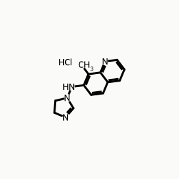 Cc1c(NN2C=NCC2)ccc2cccnc12.Cl